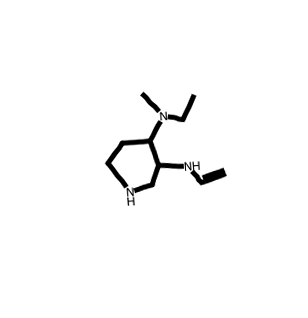 C=CNC1CNCCC1N(C)CC